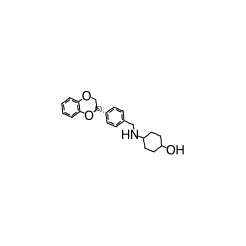 OC1CCC(NCc2ccc([C@H]3COc4ccccc4O3)cc2)CC1